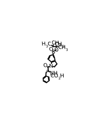 CC1(C)OB(c2ccc3c(c2)CCN3C(=O)[C@H](Cc2ccccc2)NC(=O)O)OC1(C)C